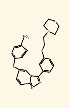 O=[N+]([O-])c1ccc(Sc2ccc3nnc(-c4cccc(OCCN5CCOCC5)c4)n3c2)nc1